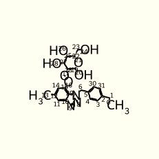 CCc1ccc(Cn2nnc3cc(C)cc(OO[C@H]4C(O)O[C@H](CO)[C@@H](O)[C@@H]4O)c32)cc1